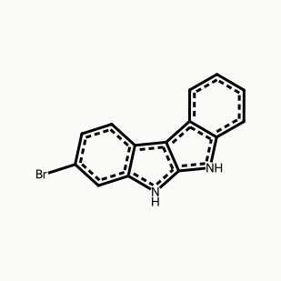 Brc1ccc2c(c1)[nH]c1[nH]c3ccccc3c12